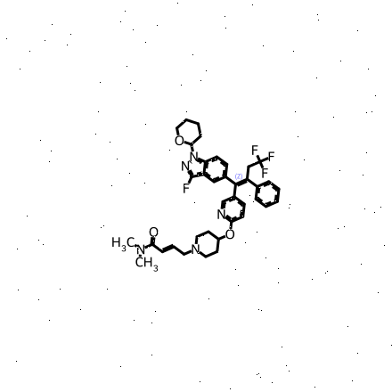 CN(C)C(=O)C=CCN1CCC(Oc2ccc(/C(=C(/CC(F)(F)F)c3ccccc3)c3ccc4c(c3)c(F)nn4C3CCCCO3)cn2)CC1